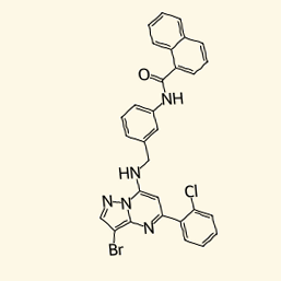 O=C(Nc1cccc(CNc2cc(-c3ccccc3Cl)nc3c(Br)cnn23)c1)c1cccc2ccccc12